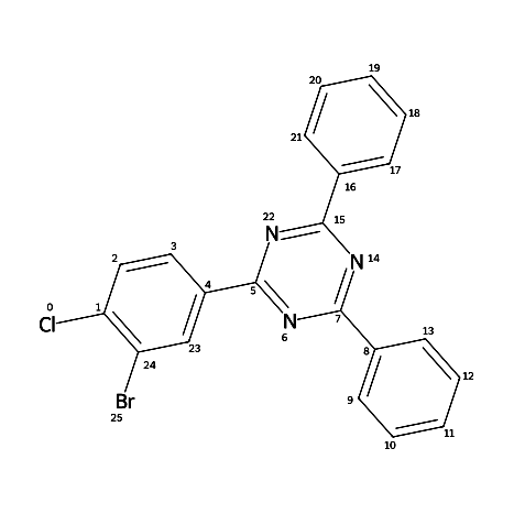 Clc1ccc(-c2nc(-c3ccccc3)nc(-c3ccccc3)n2)cc1Br